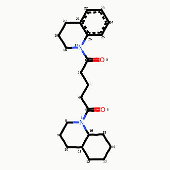 O=C(CCCC(=O)N1CCCC2CCCCC21)N1CCCc2ccccc21